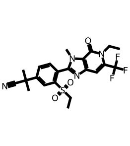 CCn1c(C(F)(F)F)cc2nc(-c3ccc(C(C)(C)C#N)cc3S(=O)(=O)CC)n(C)c2c1=O